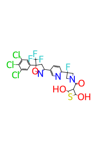 O=C(C1C(O)SC1O)N1CC(F)(c2ccc(C3=NOC(c4cc(Cl)c(Cl)c(Cl)c4)(C(F)(F)F)C3)cn2)C1